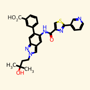 CC(C)(O)CCn1cc2cc(NC(=O)c3csc(-c4cccnc4)n3)c(-c3cccc(C(=O)O)c3)cc2n1